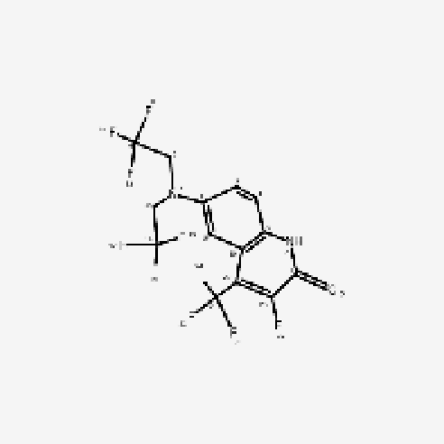 O=c1[nH]c2ccc(N(CC(F)(F)F)CC(F)(F)F)cc2c(C(F)(F)F)c1F